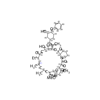 CCC1/C=C(\C)CC(C)CC(OC)C2OC(O)(C(=O)C(=O)N3CCCCC3C(=O)OC(C(C)=CC3CCC(Oc4ccccc4)C(O)C3)C(C)C(O)CC1=O)C(C)CC2OC